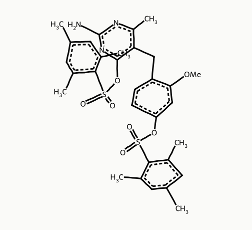 COc1cc(OS(=O)(=O)c2c(C)cc(C)cc2C)ccc1Cc1c(C)nc(N)nc1OS(=O)(=O)c1c(C)cc(C)cc1C